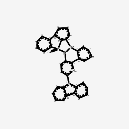 O=P12B3c4ccc(-n5c6ccccc6c6ccccc65)nc4-c4ccccc4N3c3cccc(c31)-c1ccccc12